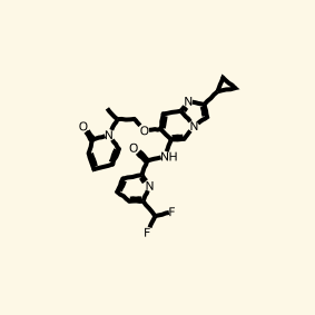 CC(COc1cc2nc(C3CC3)cn2cc1NC(=O)c1cccc(C(F)F)n1)n1ccccc1=O